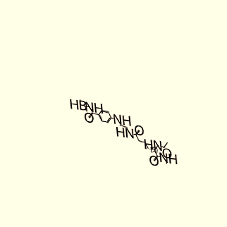 CBNC(=O)c1ccc(NCCNC(=O)CCC[C@H](NC(C)=O)C(=O)NC)cc1